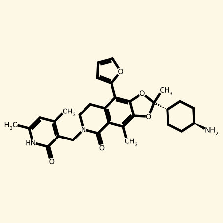 Cc1cc(C)c(CN2CCc3c(c(C)c4c(c3-c3ccco3)OC(C)([C@H]3CC[C@H](N)CC3)O4)C2=O)c(=O)[nH]1